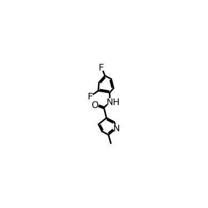 Cc1ccc(C(=O)Nc2ccc(F)cc2F)cn1